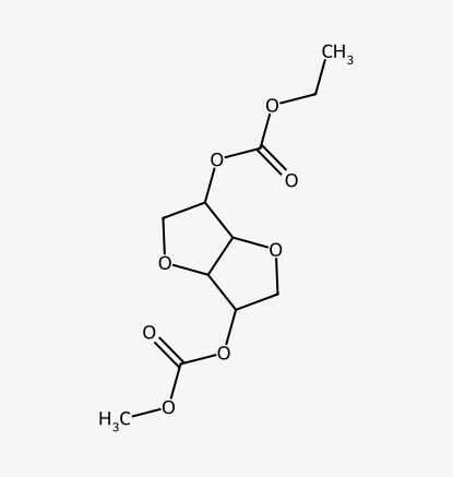 CCOC(=O)OC1COC2C(OC(=O)OC)COC12